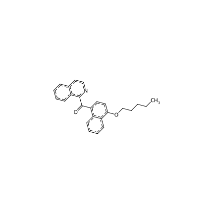 CCCCCOc1ccc(C(=O)c2nccc3ccccc23)c2ccccc12